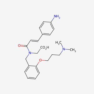 CN(C)CCCOc1ccccc1CN(CC(=O)O)C(=O)/C=C/c1ccc(N)cc1